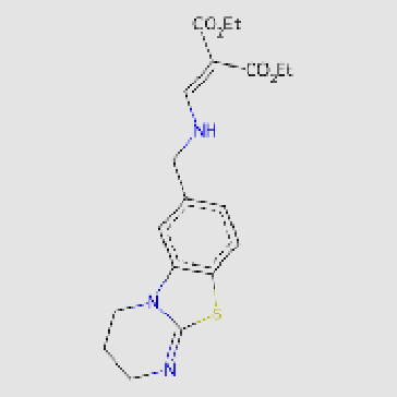 CCOC(=O)C(=CNCc1ccc2c(c1)N1CCCN=C1S2)C(=O)OCC